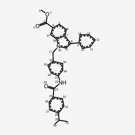 COC(=O)c1ccc2c(-c3ccccc3)cn(Cc3ccc(NC(=O)c4ccc(C(C)C)cc4)cc3)c2c1